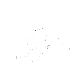 O=C1CCC2(F)[C@H]3Cc4ccc(O)c5c4[C@@]2(CCN3CC2CCC2)C1O5